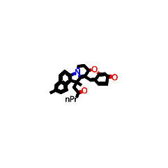 CCCC(=O)CC1(C)C2=C3C=C4C=CC(=O)C=C4OC3CCN2c2ccc3cc(C)ccc3c21